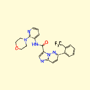 O=C(Nc1cccnc1N1CCOCC1)c1cnc2ccc(-c3ccccc3C(F)(F)F)nn12